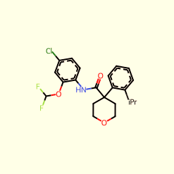 CC(C)c1ccccc1C1(C(=O)Nc2ccc(Cl)cc2OC(F)F)CCOCC1